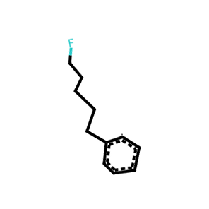 FCCCCCc1[c]cccc1